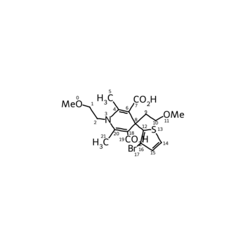 COCCN1C(C)=C(C(=O)O)C(CCOC)(c2sccc2Br)C(C(=O)O)=C1C